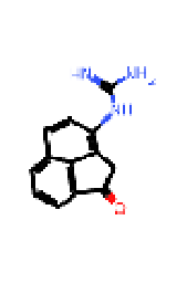 N=C(N)Nc1ccc2cccc3c2c1CC3=O